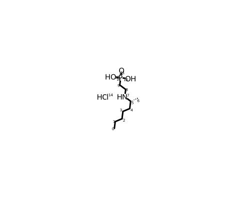 CCCCC[C@@H](C)NCCP(=O)(O)O.Cl